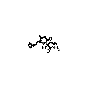 CC[C@](CC(C)C)(C(N)=O)n1nc(CCN2CCC2)c(C)cc1=O